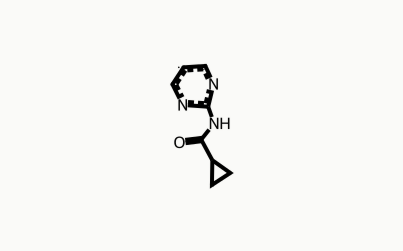 O=C(Nc1nc[c]cn1)C1CC1